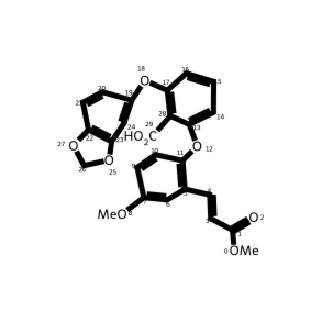 COC(=O)/C=C/c1cc(OC)ccc1Oc1cccc(Oc2ccc3c(c2)OCO3)c1C(=O)O